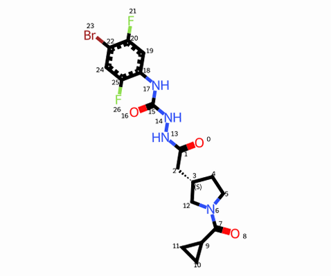 O=C(C[C@@H]1CCN(C(=O)C2CC2)C1)NNC(=O)Nc1cc(F)c(Br)cc1F